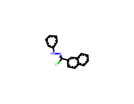 ClC(=NNc1ccccc1)c1ccc2ccccc2c1